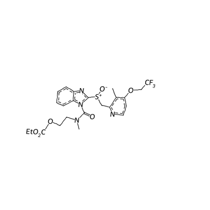 CCOC(=O)OCCN(C)C(=O)n1c([S+]([O-])Cc2nccc(OCC(F)(F)F)c2C)nc2ccccc21